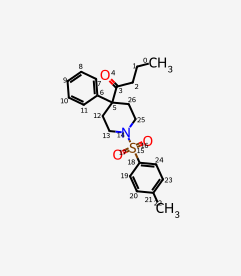 CCCC(=O)C1(c2ccccc2)CCN(S(=O)(=O)c2ccc(C)cc2)CC1